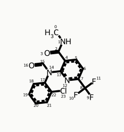 CNC(=O)c1ccc(C(F)(F)F)nc1N(C=O)c1ccccc1Cl